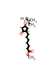 COC(=O)C=CCCCCC1=CC(O[Si](C)(C)C)CC1=O